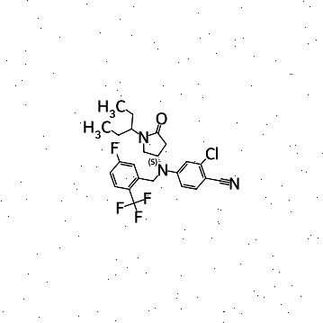 CCC(CC)N1C[C@@H](N(Cc2cc(F)ccc2C(F)(F)F)c2ccc(C#N)c(Cl)c2)CC1=O